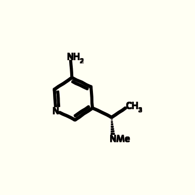 CN[C@@H](C)c1cncc(N)c1